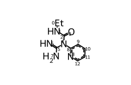 CCNC(=O)N(C(=N)N)c1ccccn1